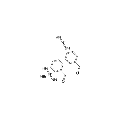 Br.N=[N+]=N.N=[N+]=N.O=Cc1ccccc1.O=Cc1ccccc1